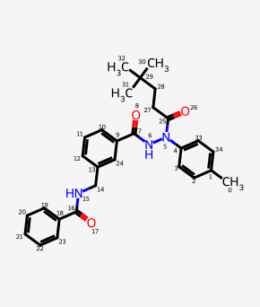 Cc1ccc(N(NC(=O)c2cccc(CNC(=O)c3ccccc3)c2)C(=O)CCC(C)(C)C)cc1